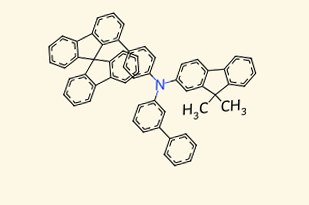 CC1(C)c2ccccc2-c2ccc(N(c3ccc(-c4cccc5c4C4(c6ccccc6-c6ccccc64)c4ccccc4-5)cc3)c3cccc(-c4ccccc4)c3)cc21